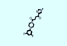 Cn1cnc(C(=O)CCC(=O)N2CCN(c3cc(F)cc(F)c3)CC2)c1